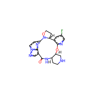 O=C1N[C@@H]2CCNC[C@@H]2Oc2ncc(F)cc2[C@H]2CCON2c2ccn3ncc1c3n2